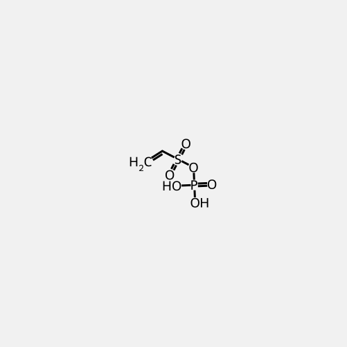 C=CS(=O)(=O)OP(=O)(O)O